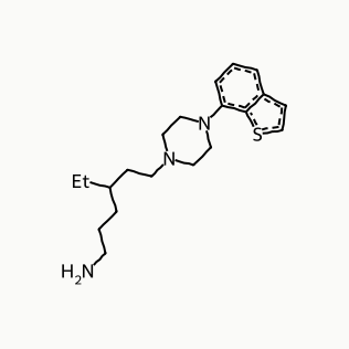 CCC(CCCN)CCN1CCN(c2cccc3ccsc23)CC1